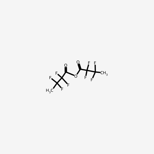 CC(F)(F)C(F)(F)C(=O)OC(=O)C(F)(F)C(C)(F)F